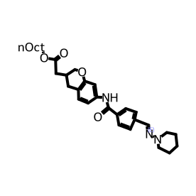 CCCCCCCCOC(=O)CC1COc2cc(NC(=O)c3ccc(/C=N/N4CCCCC4)cc3)ccc2C1